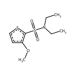 CCN(CC)S(=O)(=O)c1sccc1OC